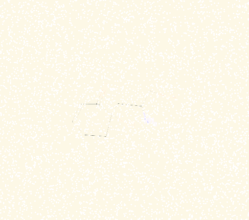 NC(CO)CC1(O)CCC=CC1=O